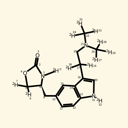 [2H]N1C(=O)OC([2H])([2H])[C@@H]1Cc1ccc2c(c1)c(C([2H])([2H])CN(C([2H])([2H])[2H])C([2H])([2H])[2H])cn2[2H]